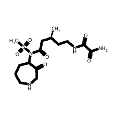 C[C@@H](CCNC(=O)C(N)=O)CC(=O)N(C1CCCNCC1=O)S(C)(=O)=O